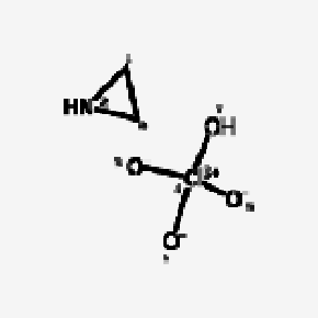 C1CN1.[O-][Cl+3]([O-])([O-])O